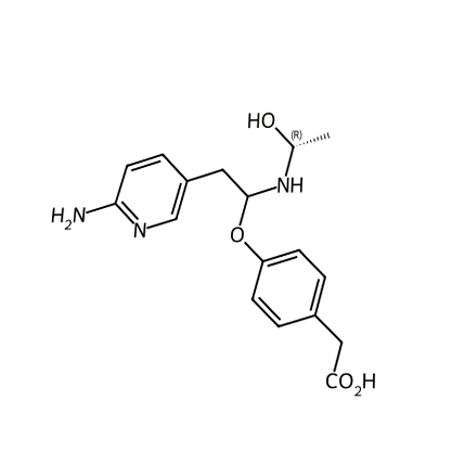 C[C@@H](O)NC(Cc1ccc(N)nc1)Oc1ccc(CC(=O)O)cc1